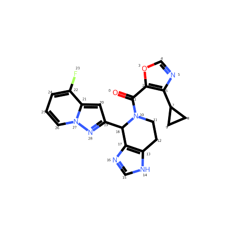 O=C(c1ocnc1C1CC1)N1CCc2[nH]cnc2C1c1cc2c(F)cccn2n1